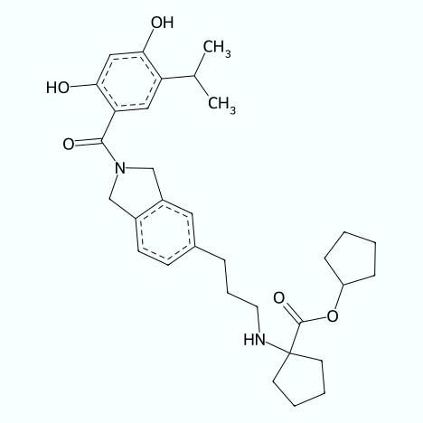 CC(C)c1cc(C(=O)N2Cc3ccc(CCCNC4(C(=O)OC5CCCC5)CCCC4)cc3C2)c(O)cc1O